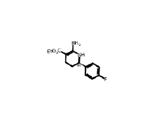 CCOC(=O)C1=C(N)N[C@@H](c2ccc(F)cc2)CC1